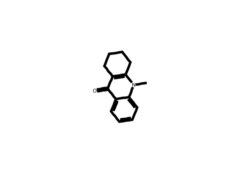 Cn1c2c(c(=O)c3ccccc31)CCCC2